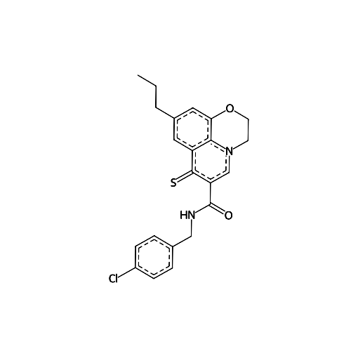 CCCc1cc2c3c(c1)c(=S)c(C(=O)NCc1ccc(Cl)cc1)cn3CCO2